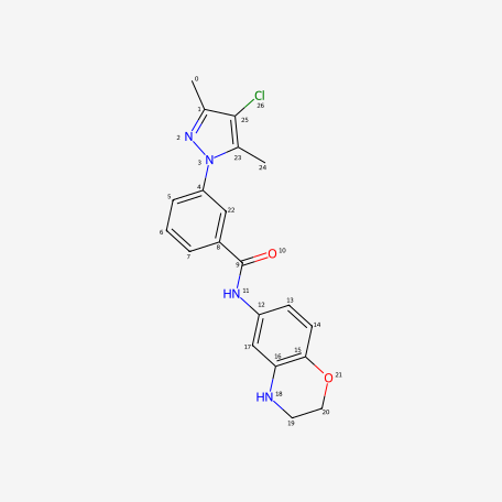 Cc1nn(-c2cccc(C(=O)Nc3ccc4c(c3)NCCO4)c2)c(C)c1Cl